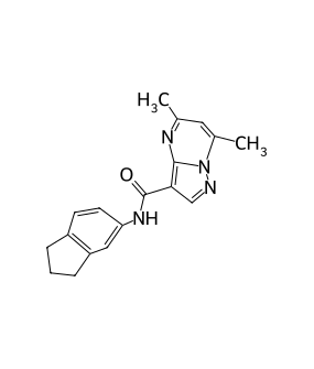 Cc1cc(C)n2ncc(C(=O)Nc3ccc4c(c3)CCC4)c2n1